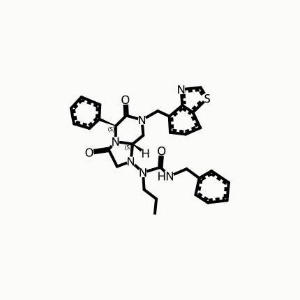 CCCN(C(=O)NCc1ccccc1)N1CC(=O)N2[C@@H](c3ccccc3)C(=O)N(Cc3cccc4scnc34)C[C@@H]21